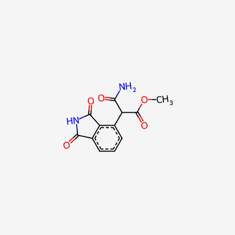 COC(=O)C(C(N)=O)c1cccc2c1C(=O)NC2=O